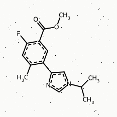 COC(=O)c1cc(-c2cn(C(C)C)cn2)c(C)cc1F